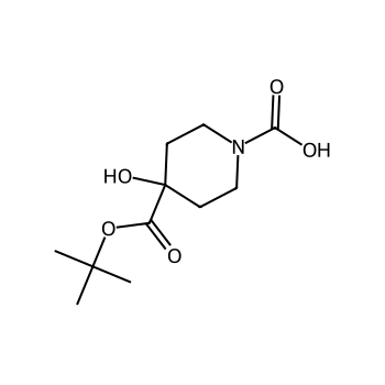 CC(C)(C)OC(=O)C1(O)CCN(C(=O)O)CC1